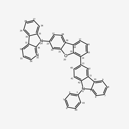 c1ccc(-n2c3ccccc3c3cc(-c4cccc5c4oc4cc(-n6c7ccccc7c7cccnc76)ccc45)ccc32)cc1